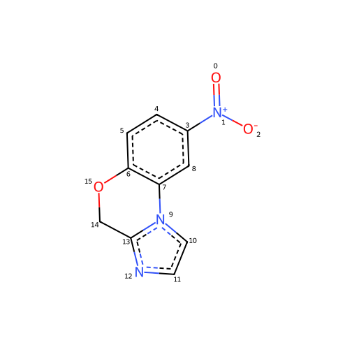 O=[N+]([O-])c1ccc2c(c1)-n1ccnc1CO2